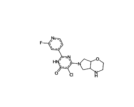 O=c1[nH]c(-c2ccnc(F)c2)nc(N2CC3NCCOC3C2)c1Cl